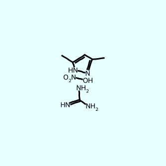 Cc1cc(C)[nH]n1.N=C(N)N.O=[N+]([O-])O